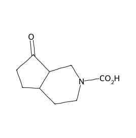 O=C1CCC2CCN(C(=O)O)CC12